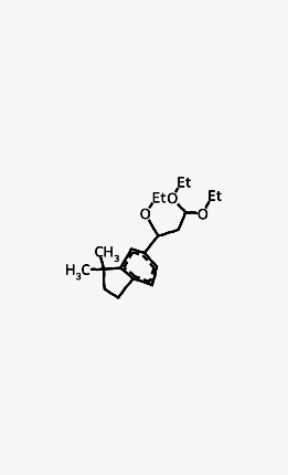 CCOC(CC(OCC)c1ccc2c(c1)C(C)(C)CC2)OCC